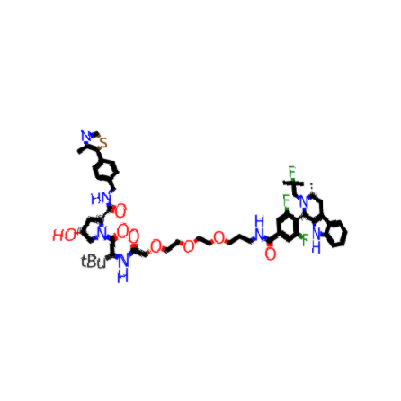 Cc1ncsc1-c1ccc(CNC(=O)[C@@H]2C[C@@H](O)CN2C(=O)C(NC(=O)COCCOCCOCCCNC(=O)c2cc(F)c([C@@H]3c4[nH]c5ccccc5c4C[C@@H](C)N3CC(C)(C)F)c(F)c2)C(C)(C)C)cc1